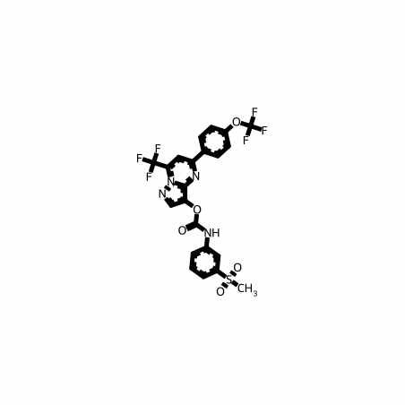 CS(=O)(=O)c1cccc(NC(=O)Oc2cnn3c(C(F)(F)F)cc(-c4ccc(OC(F)(F)F)cc4)nc23)c1